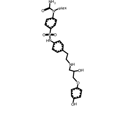 CCCCCCN(C(N)=O)c1ccc(S(=O)(=O)Nc2ccc(CCNCC(O)COc3ccc(O)cc3)cc2)cc1